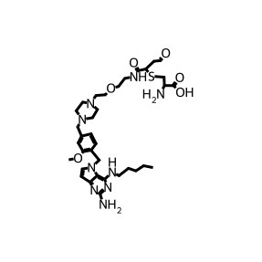 CCCCCNc1nc(N)nc2ccn(Cc3ccc(CN4CCN(CCOCCNC(=O)C(CC=O)SCC(N)C(=O)O)CC4)cc3OC)c12